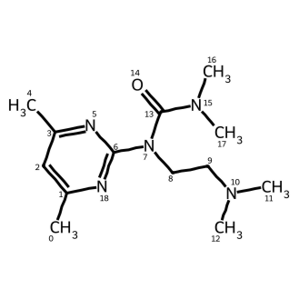 Cc1cc(C)nc(N(CCN(C)C)C(=O)N(C)C)n1